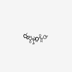 Cc1cc(C(=O)NC2CCN(C)CC2)cnc1C(NC(=O)c1cc2cccc(C)c2[nH]1)C1CC1